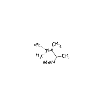 C=C(C(C)NC)N(C)C(C)C